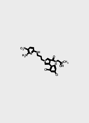 C[C@@H](O)CNC(=O)c1cn(CCCNc2ccc([N+](=O)[O-])c(N)n2)cc1-c1ccc(Cl)cc1Cl